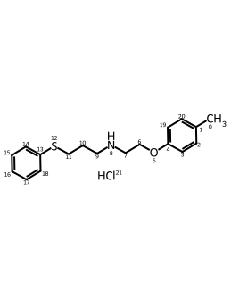 Cc1ccc(OCCNCCCSc2ccccc2)cc1.Cl